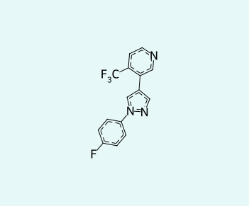 Fc1ccc(-n2cc(-c3cnccc3C(F)(F)F)cn2)cc1